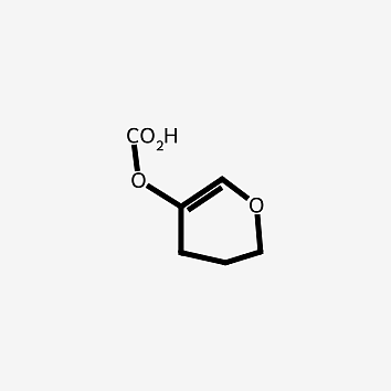 O=C(O)OC1=COCCC1